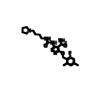 Cc1cc(C)c(COc2nsc(NC(=O)NCCCCN3CCCC3)c2C(N)=O)c(F)c1